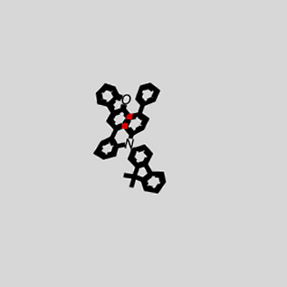 CC1(C)c2ccccc2-c2ccc(N(c3ccc(-c4ccccc4)cc3)c3ccccc3-c3ccc4oc5ccccc5c4c3)cc21